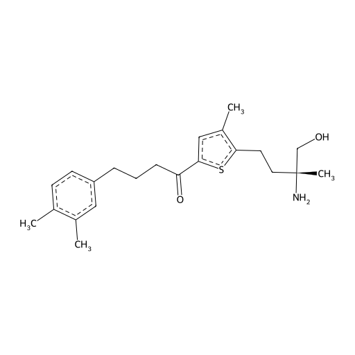 Cc1ccc(CCCC(=O)c2cc(C)c(CC[C@@](C)(N)CO)s2)cc1C